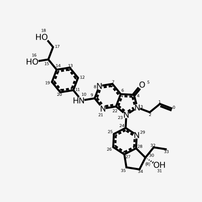 C=CCn1c(=O)c2cnc(Nc3ccc(C(O)CO)cc3)nc2n1-c1ccc2c(n1)[C@@](O)(CC)CC2